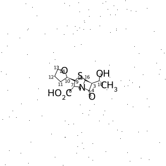 C[C@@H](O)[C@H]1C(=O)N2C(C(=O)O)C([C@H]3CCCO3)SC12